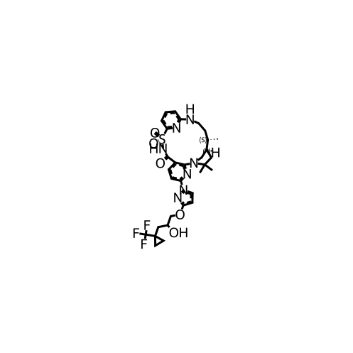 C[C@H]1CCNc2cccc(n2)S(=O)(=O)NC(=O)c2ccc(-n3ccc(OCC(O)CC4(C(F)(F)F)CC4)n3)nc2N2C[C@@H]1CC2(C)C